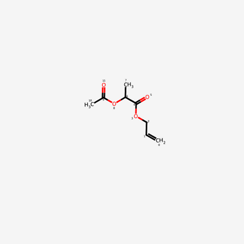 C=CCOC(=O)C(C)OC(C)=O